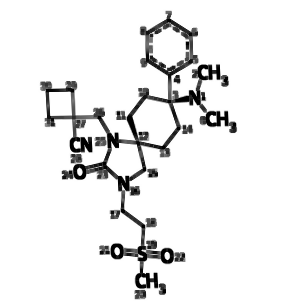 CN(C)[C@]1(c2ccccc2)CC[C@@]2(CC1)CN(CCS(C)(=O)=O)C(=O)N2CC1(C#N)CCC1